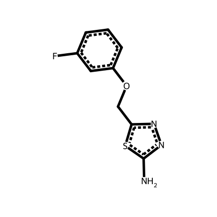 Nc1nnc(COc2cccc(F)c2)s1